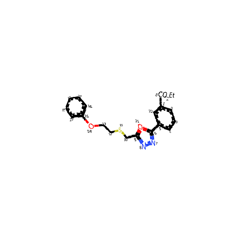 CCOC(=O)c1cccc(-c2nnc(CSCCOc3ccccc3)o2)c1